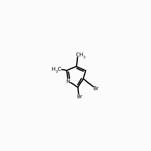 Cc1cc(Br)c(Br)nc1C